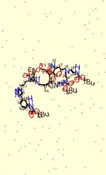 CC[C@H]1OC(=O)[C@H](C)C(=O)[C@H](C)[C@@H](O[C@@H]2OC(CN(CCNC(=O)OC(C)(C)C)CCNC(=O)OC(C)(C)C)CC(N(C)C)C2O)[C@](C)(OC)C[C@@H](C)CN[C@H](C)[C@H]2N(CCCCn3cc(-c4cccc(NC(=O)OC(C)(C)C)c4)nn3)C(=O)O[C@]12C